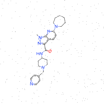 Cn1nc(C(=O)NC2CCN(Cc3ccncc3)CC2)c2ccc(N3CCCCCC3)nc21